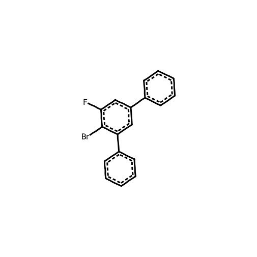 Fc1cc(-c2ccccc2)cc(-c2ccccc2)c1Br